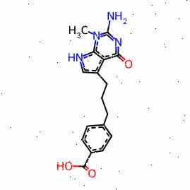 Cn1c(N)nc(=O)c2c(CCCc3ccc(C(=O)O)cc3)c[nH]c21